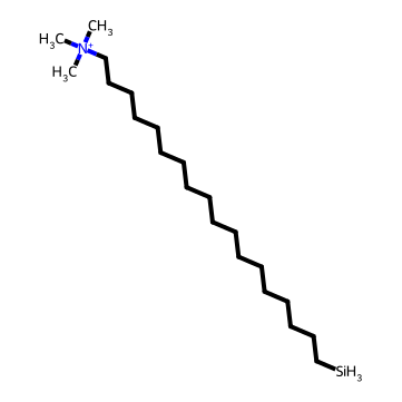 C[N+](C)(C)CCCCCCCCCCCCCCCCCC[SiH3]